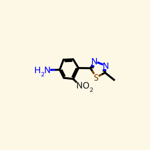 Cc1nnc(-c2ccc(N)cc2[N+](=O)[O-])s1